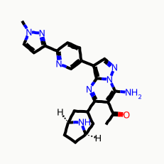 CC(=O)c1c(C2C[C@H]3CC[C@@H](C2)N3)nc2c(-c3ccc(-c4ccn(C)n4)nc3)cnn2c1N